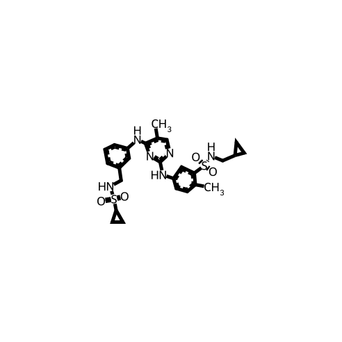 Cc1ccc(Nc2ncc(C)c(Nc3cccc(CNS(=O)(=O)C4CC4)c3)n2)cc1S(=O)(=O)NCC1CC1